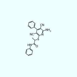 CC(Sc1nc(N)c(C#N)c(-c2ccccc2)c1C#N)C(=O)Nc1ccccc1